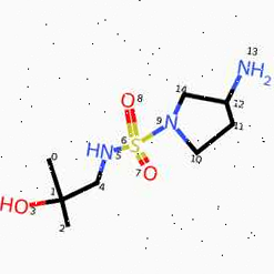 CC(C)(O)CNS(=O)(=O)N1CCC(N)C1